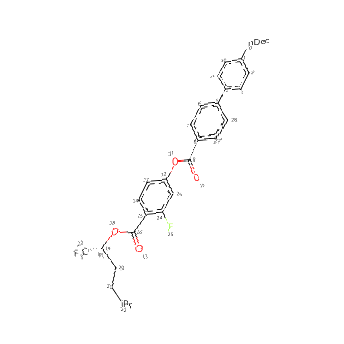 CCCCCCCCCCc1ccc(-c2ccc(C(=O)Oc3ccc(C(=O)O[C@H](CCC(C)C)C(F)(F)F)c(F)c3)cc2)cc1